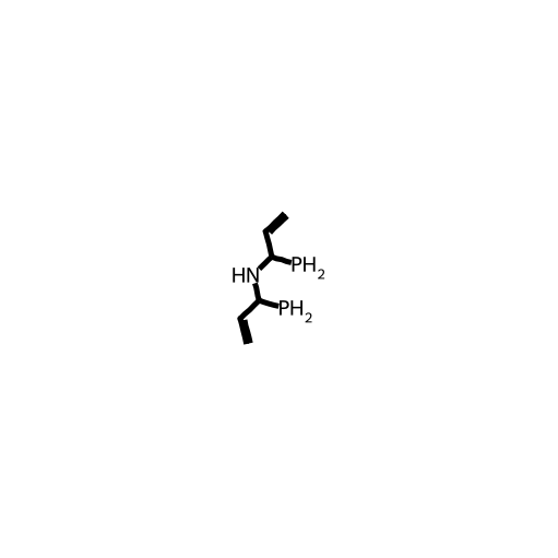 C=CC(P)NC(P)C=C